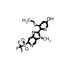 CCSc1cc(O)cnc1-c1nc2cc(S(=O)(=O)C(F)(F)F)ncc2n1C